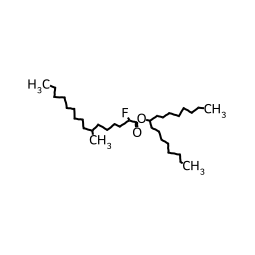 CCCCCCCCCC(C)CCCCC(F)C(=O)OC(CCCCCCCC)CCCCCCCC